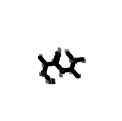 CCOC(C)C(=O)OC(C)N(C)C